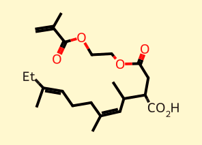 C=C(C)C(=O)OCCOC(=O)CC(C(=O)O)C(C)C=C(C)CCC=C(C)CC